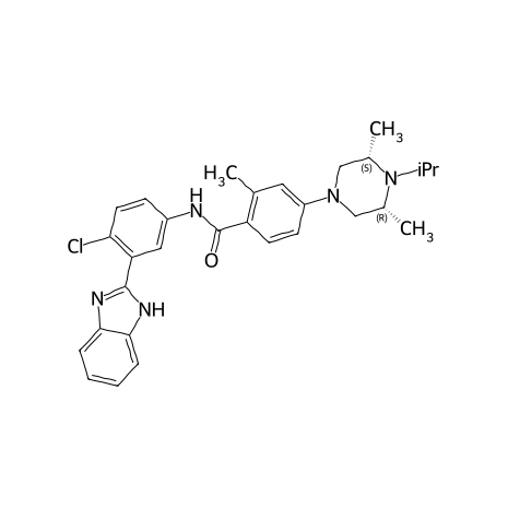 Cc1cc(N2C[C@@H](C)N(C(C)C)[C@@H](C)C2)ccc1C(=O)Nc1ccc(Cl)c(-c2nc3ccccc3[nH]2)c1